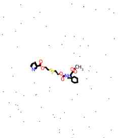 CC1OC(CC2(CNC(=O)OCCSSCCOC(=O)c3cccnc3)CCCCC2)O1